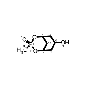 CP1(=O)OC2CC(O)CC(C2)O1